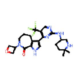 CC1(C)CCC(Nc2ncc(C(F)(F)F)c(-c3c[nH]c4c3CCCN(C3COC3)C4=O)n2)CN1